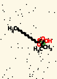 CCCCCCCCCCCCCC(=O)OC(C(C)C)C(F)(F)C(=O)O